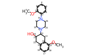 COc1ccccc1N1CCN(C2Cc3c(cccc3OC)CC2O)CC1